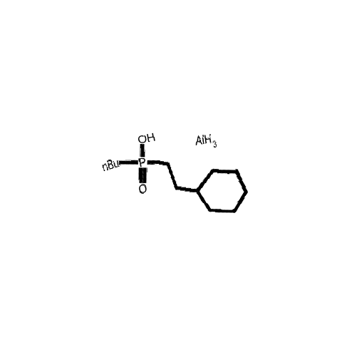 CCCCP(=O)(O)CCC1CCCCC1.[AlH3]